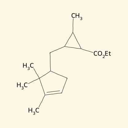 CCOC(=O)C1C(C)C1CC1CC=C(C)C1(C)C